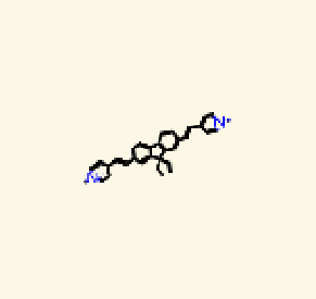 CCC1(CC)c2cc(/C=C/c3cc[n+](C)cc3)ccc2-c2ccc(/C=C/c3cc[n+](C)cc3)cc21